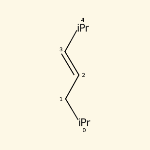 [CH2]C(C)CC=CC(C)C